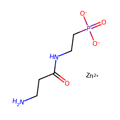 NCCC(=O)NCCP(=O)([O-])[O-].[Zn+2]